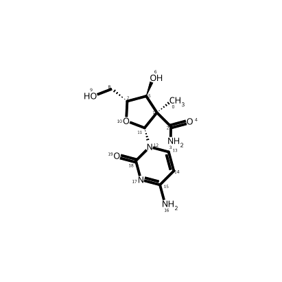 C[C@@]1(C(N)=O)[C@H](O)[C@@H](CO)O[C@H]1n1ccc(N)nc1=O